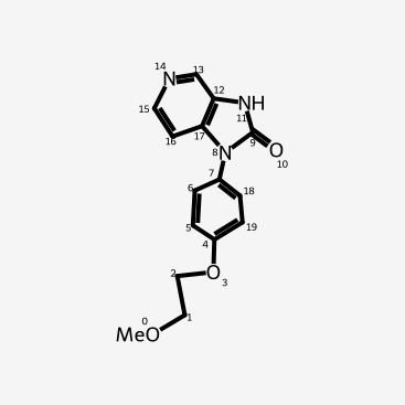 COCCOc1ccc(-n2c(=O)[nH]c3cnccc32)cc1